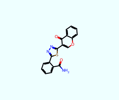 NC(=O)c1ccccc1-c1nnc(-c2coc3ccccc3c2=O)s1